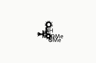 COc1cc2nc(C3CC3)nc(NCC3CCCCCC3)c2cc1OC